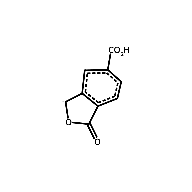 O=C(O)c1ccc2c(c1)[CH]OC2=O